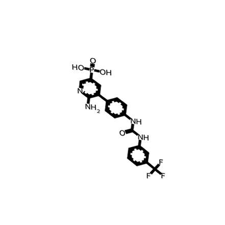 Nc1ncc(P(=O)(O)O)cc1-c1ccc(NC(=O)Nc2cccc(C(F)(F)F)c2)cc1